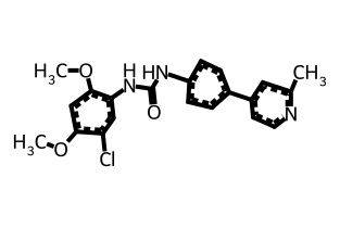 COc1cc(OC)c(NC(=O)Nc2ccc(-c3ccnc(C)c3)cc2)cc1Cl